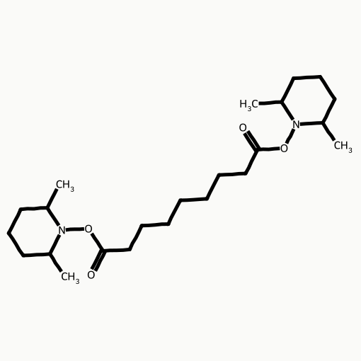 CC1CCCC(C)N1OC(=O)CCCCCCCC(=O)ON1C(C)CCCC1C